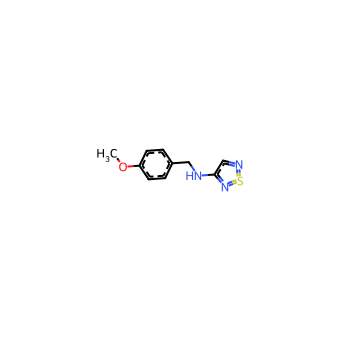 COc1ccc(CNc2cnsn2)cc1